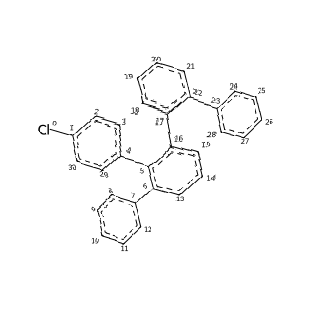 Clc1ccc(-c2c(-c3ccccc3)cccc2-c2ccccc2-c2ccccc2)cc1